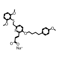 COc1ccc(CCCCOc2ccc(CSc3c(OC)cccc3OC)nc2/C=C/C(=O)[O-])cc1.[Na+]